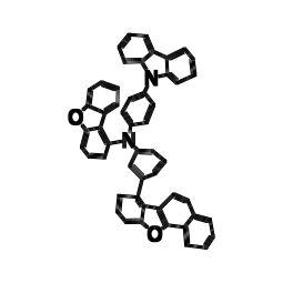 c1cc(-c2cccc3oc4c5ccccc5ccc4c23)cc(N(c2ccc(-n3c4ccccc4c4ccccc43)cc2)c2cccc3oc4ccccc4c23)c1